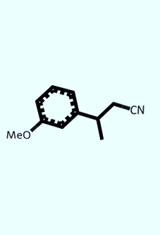 COc1cccc(C(C)CC#N)c1